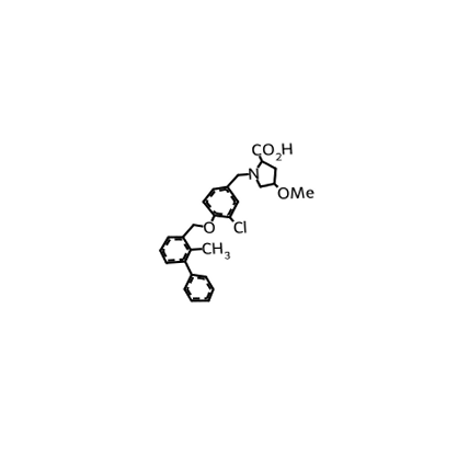 COC1CC(C(=O)O)N(Cc2ccc(OCc3cccc(-c4ccccc4)c3C)c(Cl)c2)C1